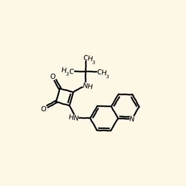 CC(C)(C)Nc1c(Nc2ccc3ncccc3c2)c(=O)c1=O